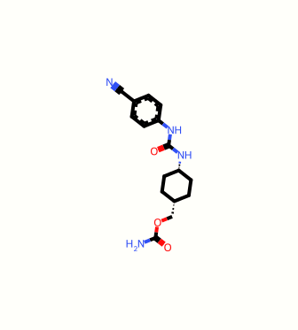 N#Cc1ccc(NC(=O)N[C@H]2CC[C@@H](COC(N)=O)CC2)cc1